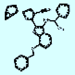 C#Cc1ccsc1-c1nc2c(OCc3ccccc3)cccn2c1NC(C)c1ccccc1.c1cc2cc-2c1